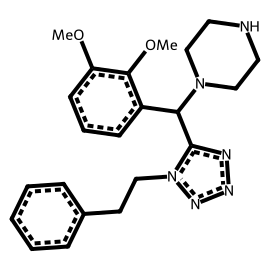 COc1cccc(C(c2nnnn2CCc2ccccc2)N2CCNCC2)c1OC